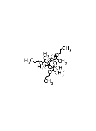 CCCOC(C)[Si]1(C)O[Si](C)(C(C)OCCC)O[Si](C)(C(C)OCCC)O1